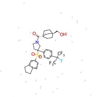 O=C(N1CCC(c2ccc(C(F)(C(F)(F)F)C(F)(F)F)cc2)(S(=O)(=O)c2ccc3c(c2)CCC3)C1)[C@]12CC[C@@](CO)(CC1)CC2